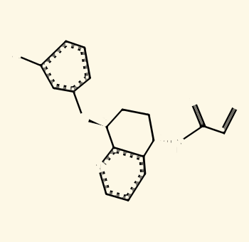 C=CC(=O)N[C@H]1CC[C@H](Oc2cccc(Cl)c2)c2ncccc21